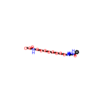 O=CCOCC(=O)NCCOCCOCCOCCOCCOCCOCCOCCOCCn1cc(CNC(=O)C2CCCCC2)nn1